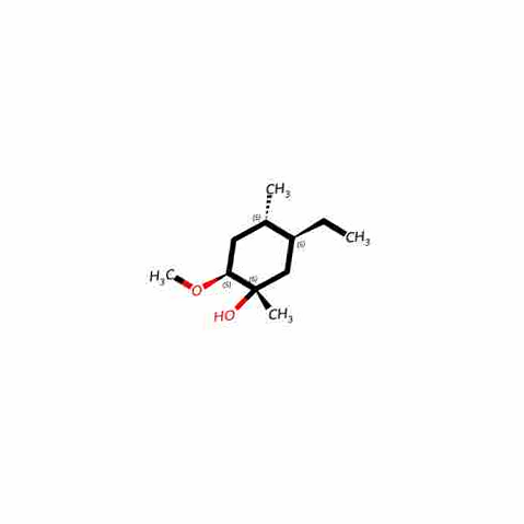 CC[C@H]1C[C@](C)(O)[C@@H](OC)C[C@@H]1C